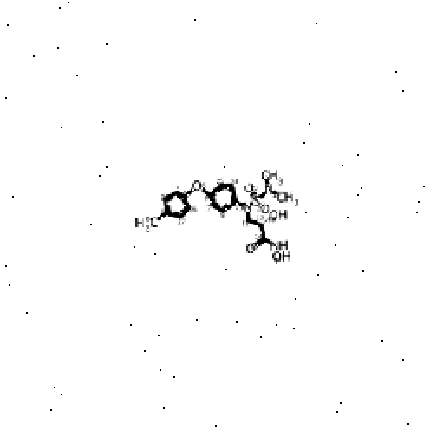 Cc1ccc(Oc2ccc(N(C[C@H](O)C(=O)NO)S(=O)(=O)N(C)C)cc2)cc1